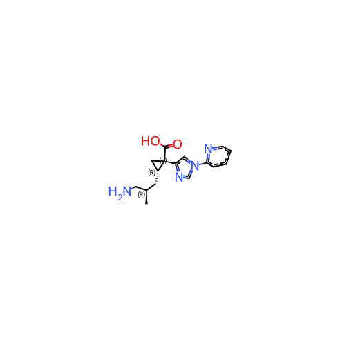 C[C@@H](CN)C[C@@H]1C[C@@]1(C(=O)O)c1cn(-c2ccccn2)cn1